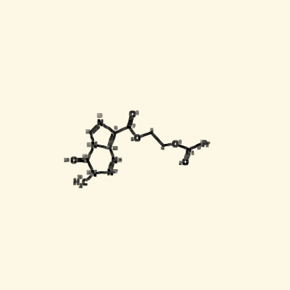 CC(C)C(=O)OCCOC(=O)c1ncn2c(=O)n(C)nnc12